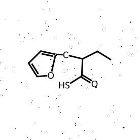 CCC(Cc1ccco1)C(=O)S